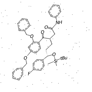 CC(C)(C)[Si](C)(C)O[C@@H](CCC(CC(=O)Nc1ccccc1)C(=O)c1ccc(OCc2ccccc2)cc1OCc1ccccc1)c1ccc(F)cc1